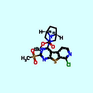 CC(C)(C)OC(=O)N1[C@@H]2CC[C@H]1CN(c1nc(S(C)(=O)=O)nc3sc4c(Cl)nccc4c13)C2